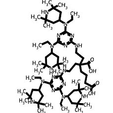 CCN(c1nc(NCCC(CCCC(=O)O)(CCNc2nc(N(CC)C3CC(C)(C)NC(C)(C)C3)nc(N(CC)C3CC(C)(C)NC(C)(C)C3)n2)C(=O)O)nc(N(CC)C2CC(C)(C)NC(C)(C)C2)n1)C1CC(C)(C)NC(C)(C)C1